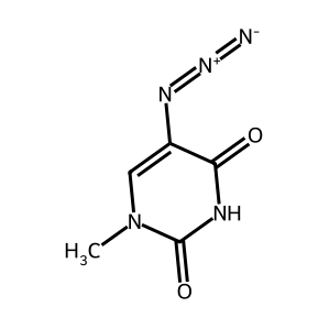 Cn1cc(N=[N+]=[N-])c(=O)[nH]c1=O